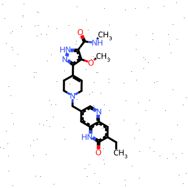 CCc1cc2ncc(CN3CC=C(c4n[nH]c(C(=O)NC)c4OC)CC3)cc2[nH]c1=O